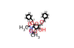 CC(=O)N[C@H]1[C@@H](OCc2ccccc2)O[C@H](COCc2ccccc2)[C@@H](O)[C@@H]1OC(C)=O